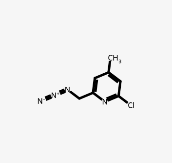 Cc1cc(Cl)nc(CN=[N+]=[N-])c1